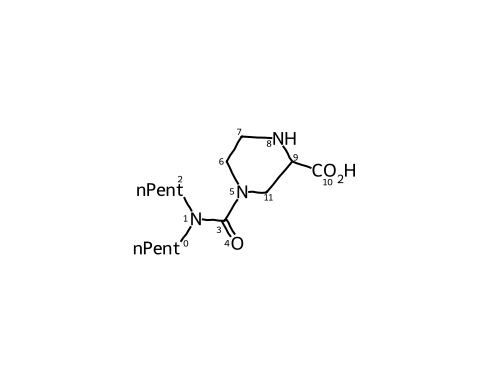 CCCCCN(CCCCC)C(=O)N1CCNC(C(=O)O)C1